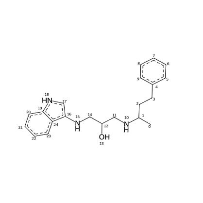 CC(CCc1ccccc1)NCC(O)CNc1c[nH]c2ccccc12